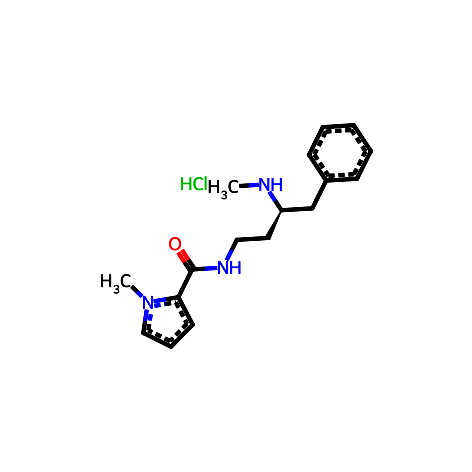 CN[C@H](CCNC(=O)c1cccn1C)Cc1ccccc1.Cl